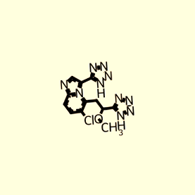 COC(Cc1c(Cl)ccc2ncc(-c3nnn[nH]3)n12)c1nnn[nH]1